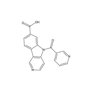 O=C(O)c1ccc2c3cnccc3n(C(=O)c3cccnc3)c2c1